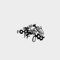 Cc1ccc2cc(C(=O)NCC(O)(c3cc4c(c(-c5ccc(F)cc5)n3)OC[C@]4(C)C(N)=O)C(F)(F)F)cc(NC(=O)NC3CC3)c2n1